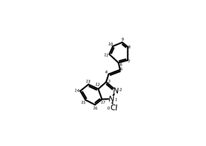 Cln1nc(C=Cc2ccccc2)c2ccccc21